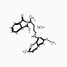 COc1cc(NCCCC(C)N2C(=O)c3ccccc3C2=O)c2nc(C)ccc2c1.Cl